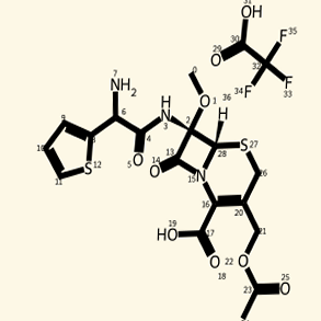 CO[C@@]1(NC(=O)C(N)c2cccs2)C(=O)N2C(C(=O)O)=C(COC(C)=O)CS[C@H]21.O=C(O)C(F)(F)F